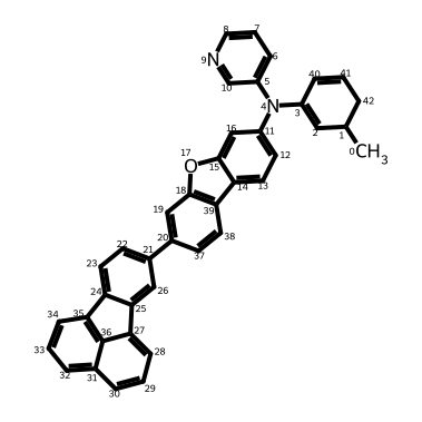 CC1C=C(N(c2cccnc2)c2ccc3c(c2)oc2cc(-c4ccc5c(c4)-c4cccc6cccc-5c46)ccc23)C=CC1